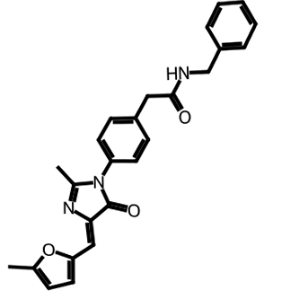 CC1=NC(=Cc2ccc(C)o2)C(=O)N1c1ccc(CC(=O)NCc2ccccc2)cc1